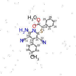 COC(=O)C(Sc1nc(N)c(C#N)c(-c2ccc(C)cc2)c1C#N)c1ccccc1